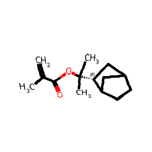 C=C(C)C(=O)OC(C)(C)[C@@H]1CC2CCC1C2